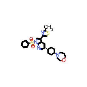 Cc1nc(-c2cn(S(=O)(=O)c3ccccc3)c3ncc([C@H]4CC[C@H](N5CCCOCC5)CC4)cc23)cs1